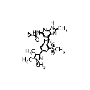 Cc1nc2c(Nc3ccc(-c4nn(C)c(C)c4C)cc3S(C)(=O)=O)cc(NC(=O)C3CC3)nc2[nH]1